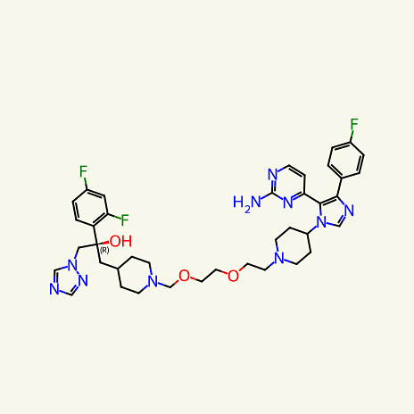 Nc1nccc(-c2c(-c3ccc(F)cc3)ncn2C2CCN(CCOCCOCN3CCC(C[C@](O)(Cn4cncn4)c4ccc(F)cc4F)CC3)CC2)n1